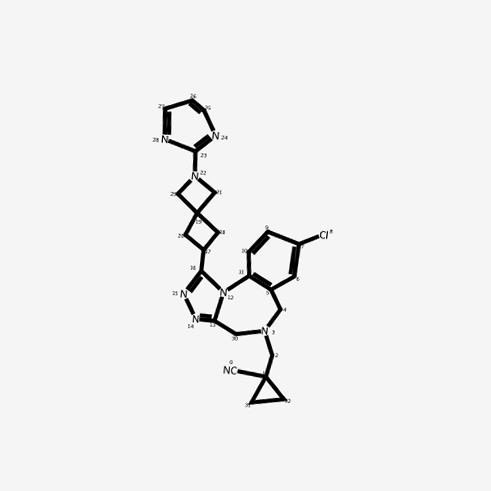 N#CC1(CN2Cc3cc(Cl)ccc3-n3c(nnc3C3CC4(C3)CN(c3ncccn3)C4)C2)CC1